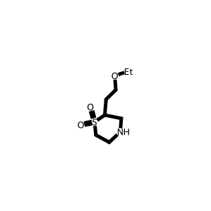 CCOCCC1CNCCS1(=O)=O